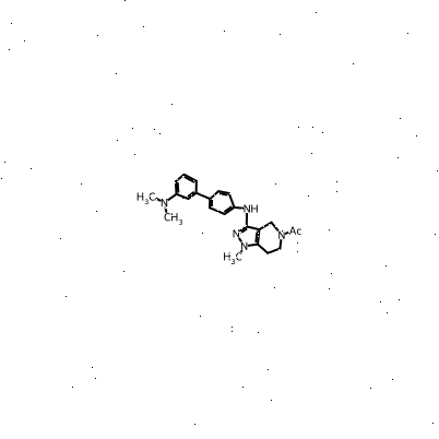 CC(=O)N1CCc2c(c(Nc3ccc(-c4cccc(N(C)C)c4)cc3)nn2C)C1